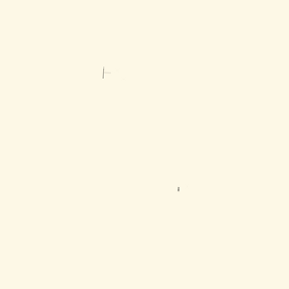 COCc1cc(C)ccc1CO